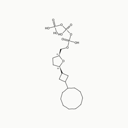 O=P(O)(O)OP(=O)(O)OP(=O)(O)OC[C@@H]1CC[C@H](C2CC(C3CCCCCCCCC3)C2)O1